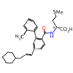 CSCC[C@H](NC(=O)c1ccc(C=CCC2CCCCC2)cc1-c1ccccc1C)C(=O)O